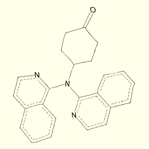 O=C1CCC(N(c2nccc3ccccc23)c2nccc3ccccc23)CC1